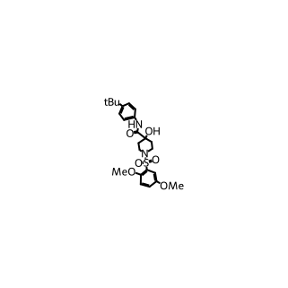 COc1ccc(OC)c(S(=O)(=O)N2CCC(O)(C(=O)Nc3ccc(C(C)(C)C)cc3)CC2)c1